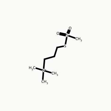 C[N+](C)(C)CCCSS(C)(=O)=O